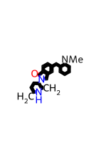 C=C1CCC(N2Cc3cc(CC4CCCCC4NC)ccc3C2=O)C(=C)N1